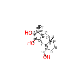 CC(C)[C@H]1[C@@H](O)[C@H](O)C2=CC3=C(CO)CCC[C@@]3(C)CC[C@@]21C